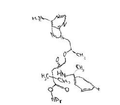 CCCOC(=O)C(C)(C)CP(=O)(CO[C@H](C)Cn1cnc2c(N)ncnc21)N[C@H](C)c1cccc(F)c1